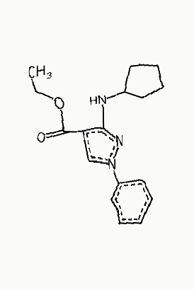 CCOC(=O)c1cn(-c2ccccc2)nc1NC1CCCC1